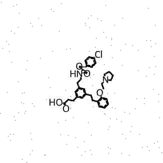 O=C(O)CCc1cc(CCNS(=O)(=O)c2ccc(Cl)cc2)cc(CCc2ccccc2OCCN2CCCC2)c1